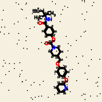 CC(C)(C)CC(C)(C)NC(=O)c1ccc(OC(=O)N2CCC(COc3ccc(Oc4ccccn4)cc3)CC2)cc1